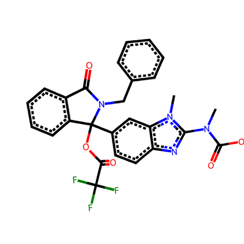 CN(C(=O)O)c1nc2ccc(C3(OC(=O)C(F)(F)F)c4ccccc4C(=O)N3Cc3ccccc3)cc2n1C